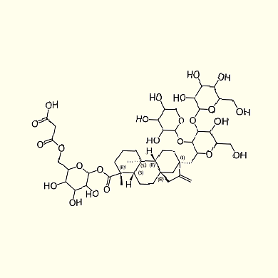 C=C1C[C@@]23CC[C@H]4[C@@](C)(CCC[C@@]4(C)C(=O)OC4OC(COC(=O)CC(=O)O)C(O)C(O)C4O)[C@@H]2CC[C@]1(CC1OC(CO)C(O)C(OC2OC(CO)C(O)C(O)C2O)C1OC1OCC(O)C(O)C1O)C3